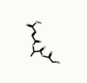 COC(=O)/C=C/C(=O)OC(C)C(=O)OC(=O)CC(C)(C)C